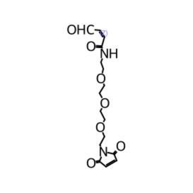 O=C/C=C\C(=O)NCCOCCOCCOCCN1C(=O)C=CC1=O